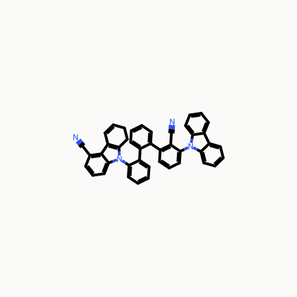 N#Cc1c(-c2ccccc2-c2ccccc2-n2c3c(c4c(C#N)cccc42)C=CCC3)cccc1-n1c2ccccc2c2ccccc21